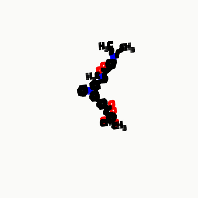 CCCCN(CCCC)c1ccc2cc(-c3ccc(-c4ccc5c(c4)c4cc(-c6ccc(-c7cc8c(OC)cc(OC)cc8oc7=O)cc6)ccc4n5-c4ccccc4)n3C)c(=O)oc2c1